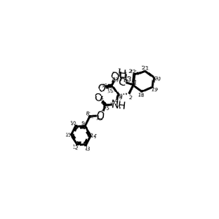 CC1(C[C@H](NC(=O)OCc2ccccc2)C(=O)O)CCCCC1